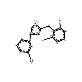 Clc1cccc(-c2c[nH]c(Cc3c(Cl)cccc3Cl)n2)c1